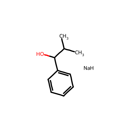 CC(C)C(O)c1ccccc1.[NaH]